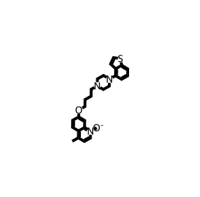 Cc1cc[n+]([O-])c2cc(OCCCCN3CCN(c4cccc5sccc45)CC3)ccc12